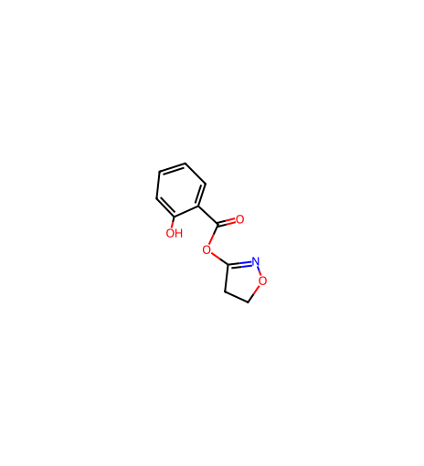 O=C(OC1=NOCC1)c1ccccc1O